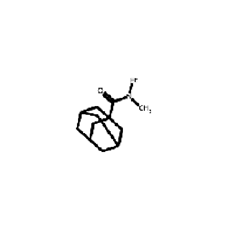 CCN(C)C(=O)C12CC3CC(CC(C3)C1)C2